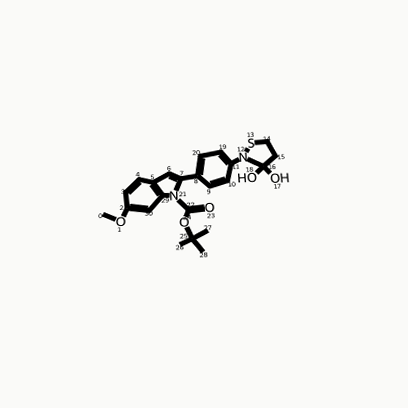 COc1ccc2cc(-c3ccc(N4SCCC4(O)O)cc3)n(C(=O)OC(C)(C)C)c2c1